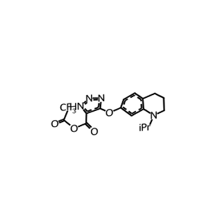 CC(C)N1CCCc2ccc(Oc3nn[nH]c3C(=O)OC(=O)C(F)(F)F)cc21